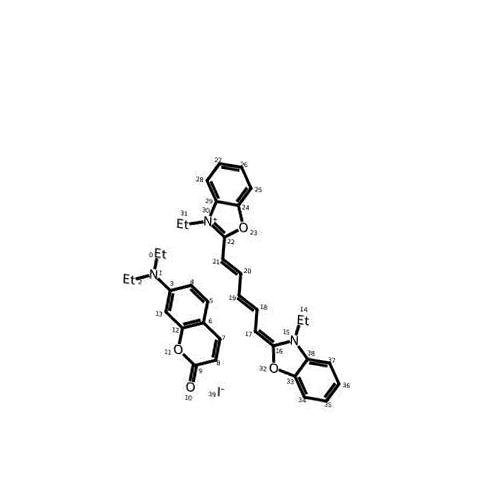 CCN(CC)c1ccc2ccc(=O)oc2c1.CCN1C(=CC=CC=Cc2oc3ccccc3[n+]2CC)Oc2ccccc21.[I-]